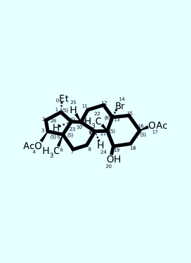 CC[C@H]1C[C@H](OC(C)=O)[C@@]2(C)CC[C@H]3[C@@H](CC[C@@]4(Br)C[C@@H](OC(C)=O)CC(O)[C@]34C)[C@H]12